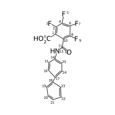 O=C(O)c1c(F)c(F)c(F)c(F)c1C(=O)Nc1ccc(-c2ccccc2)cc1